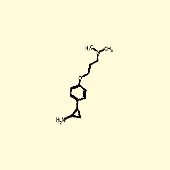 CN(C)CCCOc1ccc(C2CC2N)cc1